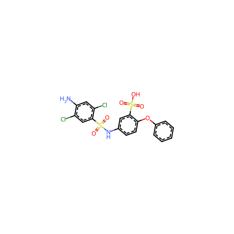 Nc1cc(Cl)c(S(=O)(=O)Nc2ccc(Oc3ccccc3)c(S(=O)(=O)O)c2)cc1Cl